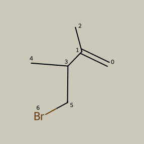 C=C(C)C(C)CBr